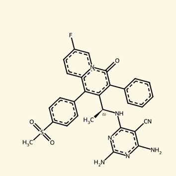 C[C@H](Nc1nc(N)nc(N)c1C#N)c1c(-c2ccccc2)c(=O)n2cc(F)ccc2c1-c1ccc(S(C)(=O)=O)cc1